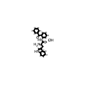 Cl.N[C@@H](Cc1c[nH]c2ccccc12)C(=O)Nc1ccccc1C(=O)c1ccccc1